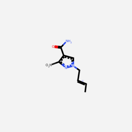 C/C=C/Cn1cc(C(N)=O)c([N+](=O)[O-])n1